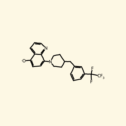 [O]c1ccc(N2CCC(Cc3cccc(C(F)(F)C(F)(F)F)c3)CC2)c2ncccc12